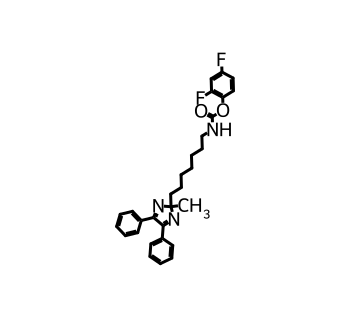 CC1(CCCCCCCNC(=O)Oc2ccc(F)cc2F)N=C(c2ccccc2)C(c2ccccc2)=N1